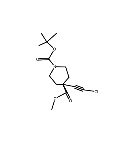 COC(=O)C1(C#CCl)CCN(C(=O)OC(C)(C)C)CC1